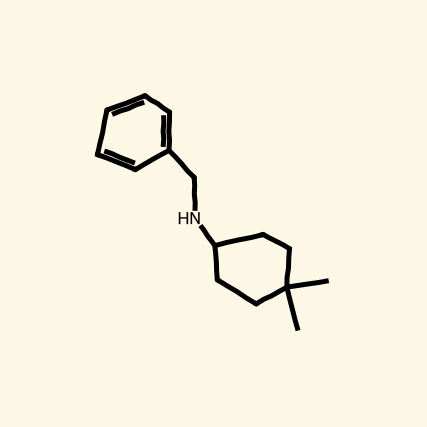 CC1(C)CCC(NCc2ccccc2)CC1